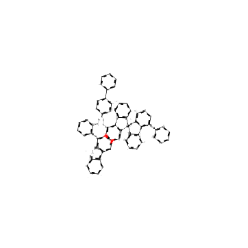 c1ccc(-c2ccc(N(c3ccccc3-c3cccc4c3oc3ccccc34)c3cccc4c3-c3ccccc3C43c4ccccc4-c4c(-c5ccccc5)cccc43)cc2)cc1